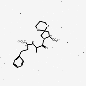 CCOC(=O)[C@H](CCc1ccccc1)NC(C)C(=O)N1CC2(C[C@H]1C(=O)O)OCCCO2